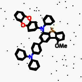 COc1cccc2sc3c(N(c4ccccc4)c4ccc5c(c4)Oc4ccccc4O5)cc(-c4ccc(N(c5ccccc5)c5ccccc5)cc4)cc3c12